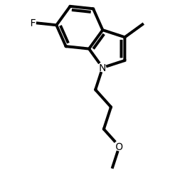 COCCCn1cc(C)c2ccc(F)cc21